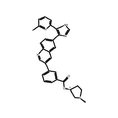 Cc1cccc(-c2[nH]cnc2-c2ccc3ncc(-c4cccc(C(=O)O[C@H]5CCN(C)C5)c4)cc3c2)n1